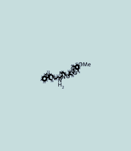 COc1cc(C)c(S(=O)(=O)N2CC(Oc3ccnc(C(N)CCN4CCC(c5ccccc5)(N(C)C)CC4)n3)C2)c(C)c1